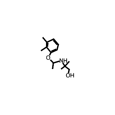 Cc1cccc(OC(C)NC(C)(C)CO)c1C